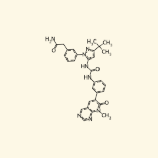 Cn1c(=O)c(-c2cccc(NC(=O)Nc3cc(C(C)(C)C)nn3-c3cccc(CC(N)=O)c3)c2)cc2cncnc21